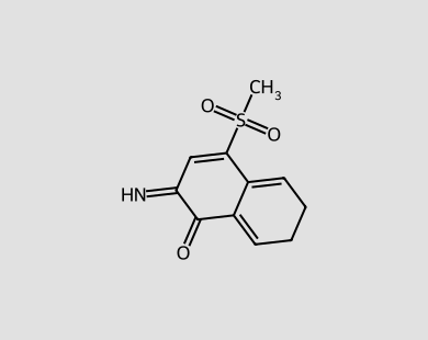 CS(=O)(=O)C1=CC(=N)C(=O)C2=CCCC=C21